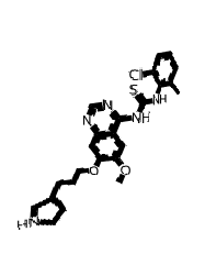 COc1cc2c(NC(=S)Nc3c(C)cccc3Cl)ncnc2cc1OCCCC1CCNC1